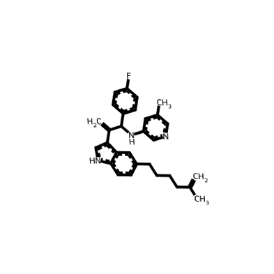 C=C(C)CCCCc1ccc2[nH]cc(C(=C)C(Nc3cncc(C)c3)c3ccc(F)cc3)c2c1